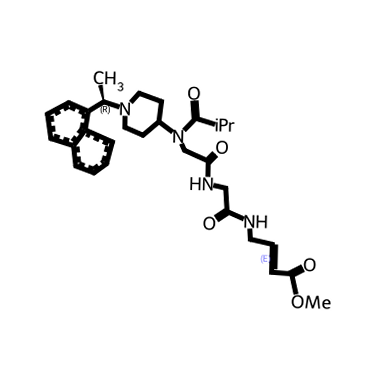 COC(=O)/C=C/CNC(=O)CNC(=O)CN(C(=O)C(C)C)C1CCN([C@H](C)c2cccc3ccccc23)CC1